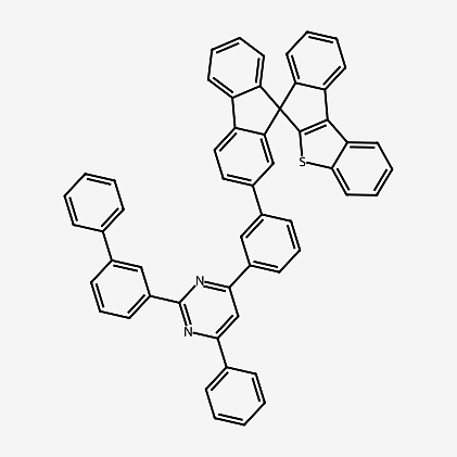 c1ccc(-c2cccc(-c3nc(-c4ccccc4)cc(-c4cccc(-c5ccc6c(c5)C5(c7ccccc7-6)c6ccccc6-c6c5sc5ccccc65)c4)n3)c2)cc1